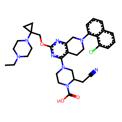 CCN1CCN(C2(COc3nc4c(c(N5CCN(C(=O)O)C(CC#N)C5)n3)CCN(c3cccc5cccc(Cl)c35)C4)CC2)CC1